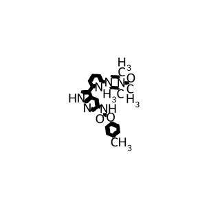 CC(=O)N1[C@H](C)CN(c2cccc(-c3c[nH]c4ncc(NC(=O)Oc5ccc(C)cc5)cc34)n2)C[C@@H]1C